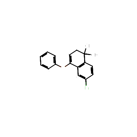 CC1(C)CC=C(Sc2ccccc2)c2cc(Br)ccc21